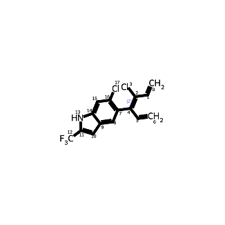 C=C/C(Cl)=C(\C=C)c1cc2cc(C(F)(F)F)[nH]c2cc1Cl